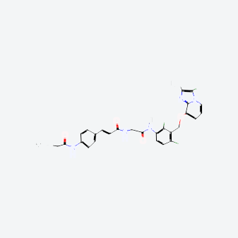 COCC(=O)Nc1ccc(C=CC(=O)NCC(=O)N(C)c2ccc(Cl)c(COc3cccn4c(Cl)c(C)nc34)c2Cl)cc1